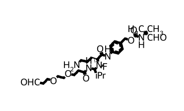 CC(C)C(NC(=O)CCOCCOCCC=O)N(F)[C@@H](CCCN)C(=O)Nc1ccc(COC(=O)NC(C)(C)C=O)cc1